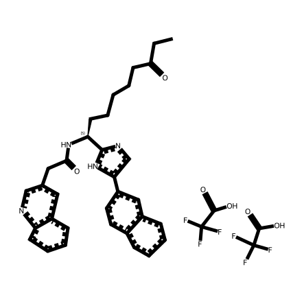 CCC(=O)CCCCC[C@H](NC(=O)Cc1cnc2ccccc2c1)c1ncc(-c2ccc3ccccc3c2)[nH]1.O=C(O)C(F)(F)F.O=C(O)C(F)(F)F